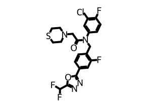 O=C(CN1CCSCC1)N(Cc1ccc(-c2nnc(C(F)F)o2)cc1F)c1ccc(F)c(Cl)c1